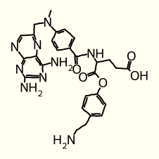 CN(Cc1cnc2nc(N)nc(N)c2n1)c1ccc(C(=O)NC(CCC(=O)O)C(=O)Oc2ccc(CCN)cc2)cc1